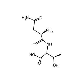 C[C@@H](O)[C@H](NC(=O)[C@H](N)CC(N)=O)C(=O)O